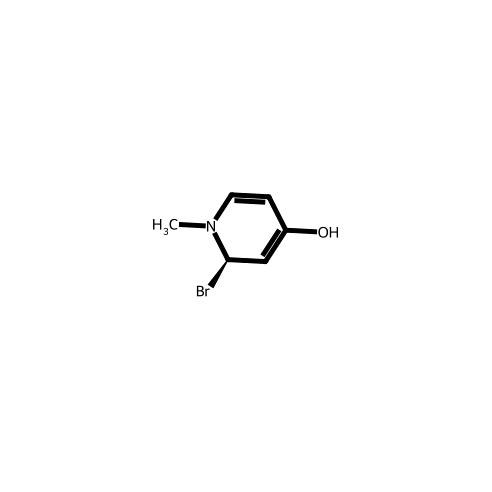 CN1C=CC(O)=C[C@H]1Br